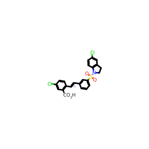 O=C(O)c1cc(Cl)ccc1/C=C/c1cccc(S(=O)(=O)N2CCc3cc(Cl)ccc32)c1